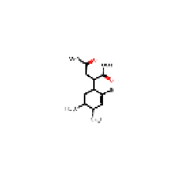 CCC1=CC(C(=O)O)C(C(=O)O)CC1C(CC(=O)OC)C(=O)OC